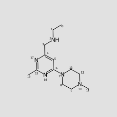 CCNCc1cc(N2CCN(C)CC2)nc(C)n1